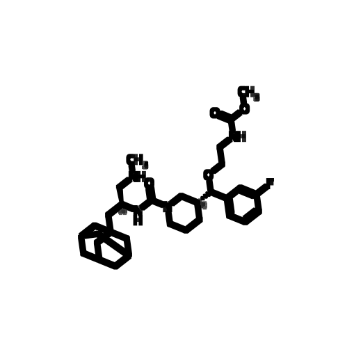 CNC[C@H](CC12CC3CC(CC(C3)C1)C2)NC(=O)N1CCC[C@@H](C(OCCNC(=O)OC)c2cccc(F)c2)C1